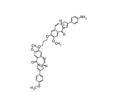 COc1ccc(C2=CN3C(=O)c4cc(OC)c(OCCCOc5cc6c(cc5OC)C(=O)N5C=C(c7ccc(N)cc7)C[C@H]5C=C6)cc4N=C[C@@H]3C2)cc1